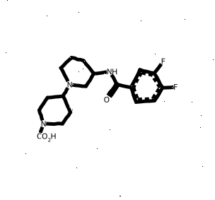 O=C(NC1CCCN(C2CCN(C(=O)O)CC2)C1)c1ccc(F)c(F)c1